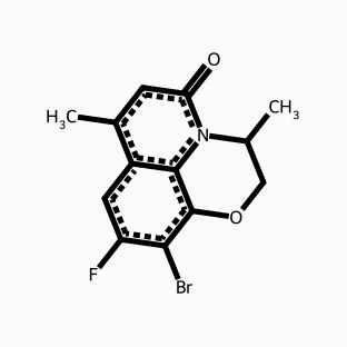 Cc1cc(=O)n2c3c(c(Br)c(F)cc13)OCC2C